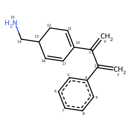 C=C(C(=C)c1ccccc1)C1=CCC(CN)C=C1